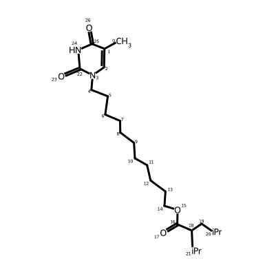 Cc1cn(CCCCCCCCCCCOC(=O)C(CC(C)C)C(C)C)c(=O)[nH]c1=O